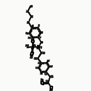 CCCCc1ccc(CN(CCc2ccc(CC(=O)OC)cc2)S(C)(=O)=O)cc1